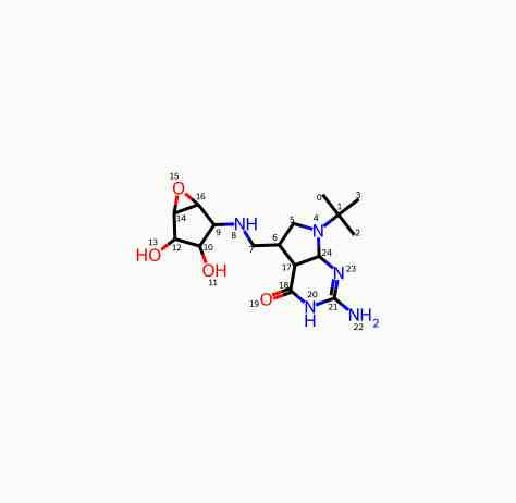 CC(C)(C)N1CC(CNC2C(O)C(O)C3OC23)C2C(=O)NC(N)=NC21